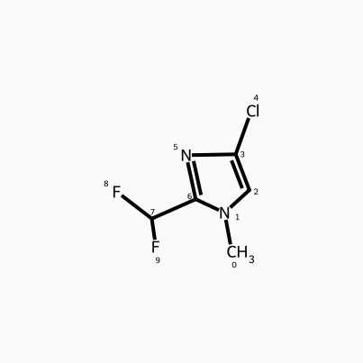 Cn1cc(Cl)nc1C(F)F